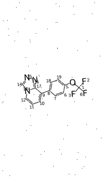 FC(F)(F)Oc1ccc(-c2cccn3cnnc23)cc1